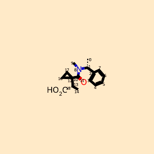 C[C@H](c1ccccc1)N(C)C(=O)C1([C@H](C)C(=O)O)CC1